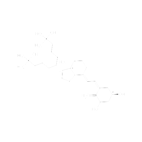 C=C1/C(=C\C=C2CCC[C@@]3(C)C2CC[C@@H]3C(CCCC(C)(C)O)CCCC(C)(C)O)C[C@@H](O)CC1O